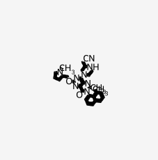 Cc1cccc2cccc(-n3c(C)nc4c(N5CCNC(CC#N)C5)nc(OCC5CCCN5C)nc4c3=O)c12